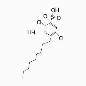 CCCCCCCCCc1cc(Cl)c(S(=O)(=O)O)cc1Cl.[LiH]